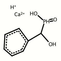 O=[PH](O)C(O)c1ccccc1.[Ca+2].[H+]